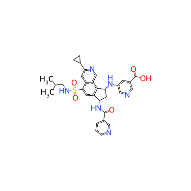 CC(C)CNS(=O)(=O)c1cc2c(c3cnc(C4CC4)cc13)[C@@H](Nc1cncc(C(=O)O)c1)C[C@@H]2NC(=O)c1cccnc1